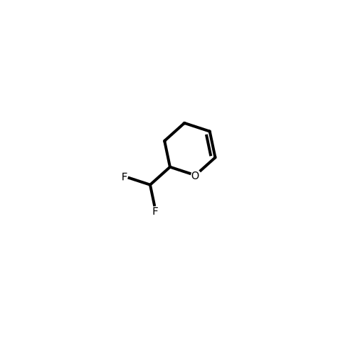 FC(F)C1CCC=CO1